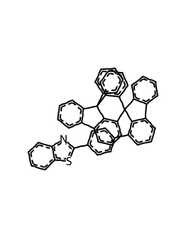 c1ccc(C23c4ccccc4-c4cccc(c42)C2(c4ccccc4-c4cccc(-c5ccc(-c6nc7ccccc7s6)cc5)c42)c2ccccc23)cc1